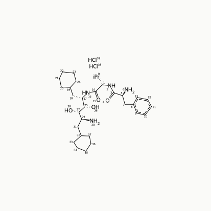 CC(C)[C@H](NC(=O)[C@@H](N)Cc1ccccc1)C(=O)N[C@@H](CC1CCCCC1)[C@H](O)[C@@H](O)[C@@H](N)CC1CCCCC1.Cl.Cl